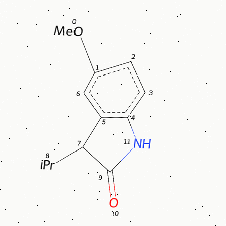 COc1ccc2c(c1)C(C(C)C)C(=O)N2